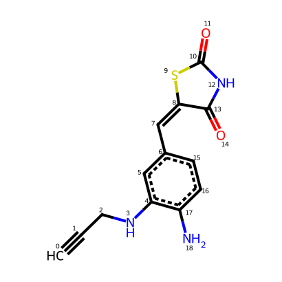 C#CCNc1cc(C=C2SC(=O)NC2=O)ccc1N